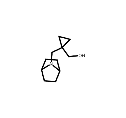 OCC1(CN2C3CCC2CC3)CC1